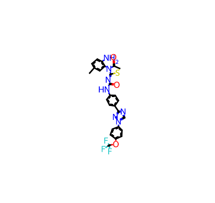 Cc1ccc(N)c(N2C(=O)CS/C2=N\C(=O)Nc2ccc(-c3ncn(-c4ccc(OC(F)(F)F)cc4)n3)cc2)c1